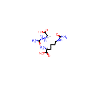 C[C@H](NNC(N)=O)C(=O)O.NC(=O)NCCCC[C@H](N)C(=O)O